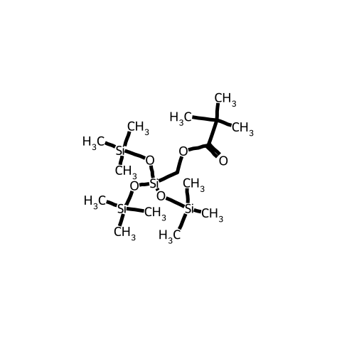 CC(C)(C)C(=O)OC[Si](O[Si](C)(C)C)(O[Si](C)(C)C)O[Si](C)(C)C